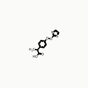 CC(C(=O)O)c1ccc(OOc2nccs2)cc1